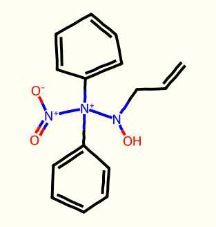 C=CCN(O)[N+](c1ccccc1)(c1ccccc1)[N+](=O)[O-]